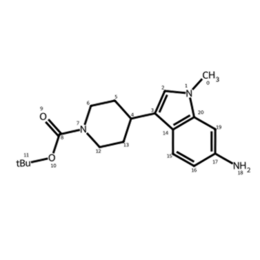 Cn1cc(C2CCN(C(=O)OC(C)(C)C)CC2)c2ccc(N)cc21